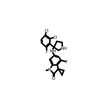 CN1C(=O)C2(CC2)c2c(F)cc(NC3(c4c(F)ccc(Cl)c4Cl)CCNC3)cc21